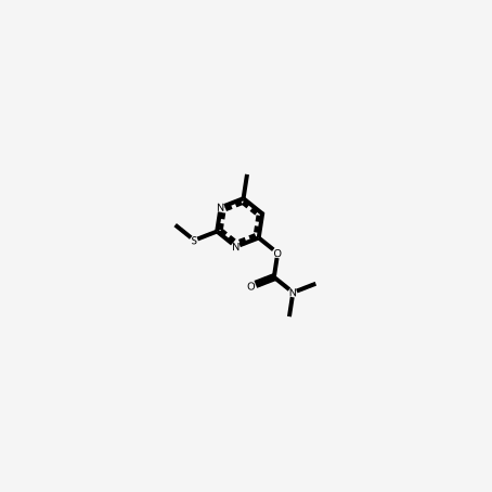 CSc1nc(C)cc(OC(=O)N(C)C)n1